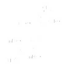 C=CSc1c(CCCCCC)cc(Sc2cc(CCCCCC)c(SC=C)c(CCCCCC)c2)cc1CCCCCC